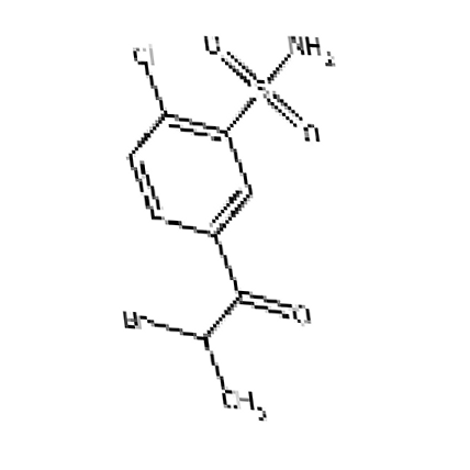 CC(Br)C(=O)c1ccc(Cl)c(S(N)(=O)=O)c1